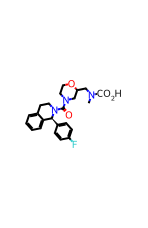 CN(CC1CN(C(=O)N2CCc3ccccc3[C@@H]2c2ccc(F)cc2)CCO1)C(=O)O